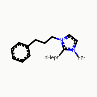 CCCCCCCc1n(CCC)cc[n+]1CCCc1ccccc1